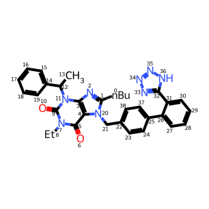 CCCCc1nc2c(c(=O)n(CC)c(=O)n2C(C)c2ccccc2)n1Cc1ccc(-c2ccccc2-c2nnn[nH]2)cc1